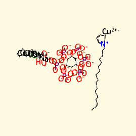 CCCCCCCCCCCCCCCC[n+]1ccccc1.O=C([O-])O.O=P([O-])([O-])O[C@H]1[C@H](OP(=O)([O-])[O-])[C@@H](OP(=O)([O-])[O-])[C@H](OP(=O)([O-])[O-])[C@@H](OP(=O)([O-])[O-])[C@H]1OP(=O)([O-])[O-].[Cl-].[Cu+2].[Cu+2].[Cu+2].[Cu+2].[Cu+2].[Cu+2].[Na+]